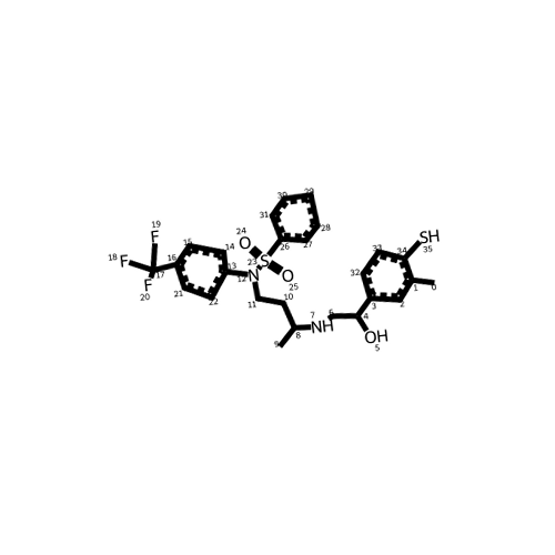 Cc1cc(C(O)CNC(C)CCN(c2ccc(C(F)(F)F)cc2)S(=O)(=O)c2ccccc2)ccc1S